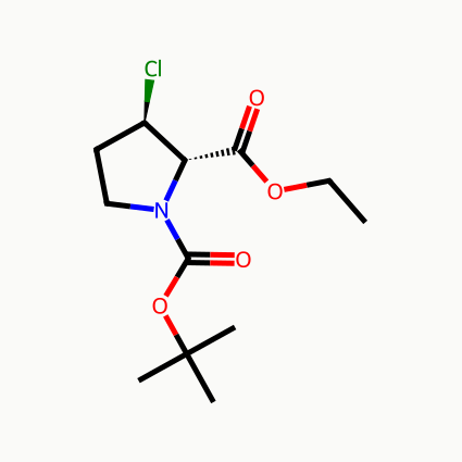 CCOC(=O)[C@H]1[C@H](Cl)CCN1C(=O)OC(C)(C)C